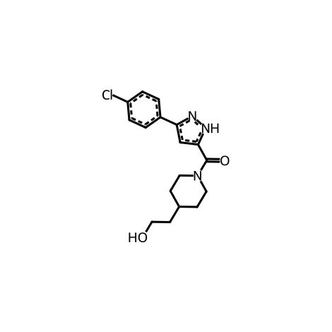 O=C(c1cc(-c2ccc(Cl)cc2)n[nH]1)N1CCC(CCO)CC1